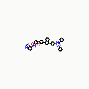 c1ccc(-c2nc(-c3ccccc3)nc(-c3ccc(-c4ccc(-c5ccc6c(c5)oc5c6ccc6oc(-c7cccc8nccnc78)nc65)c5ccccc45)cc3)n2)cc1